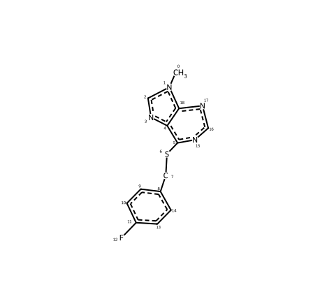 Cn1cnc2c(SCc3ccc(F)cc3)ncnc21